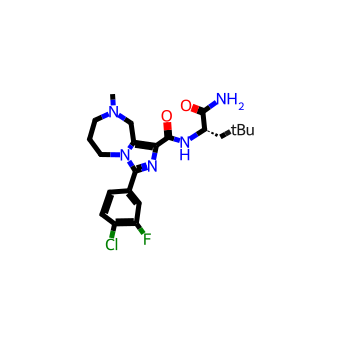 CN1CCCn2c(-c3ccc(Cl)c(F)c3)nc(C(=O)N[C@@H](CC(C)(C)C)C(N)=O)c2C1